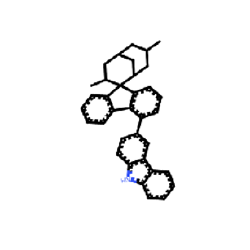 CC1CC2CC(C)C3(c4ccccc4-c4c(-c5ccc6[nH]c7ccccc7c6c5)cccc43)C(C1)C2